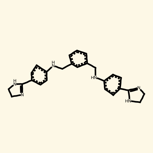 c1cc(CNc2ccc(C3=NCCN3)cc2)cc(CNc2ccc(C3=NCCN3)cc2)c1